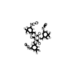 CC1C(Cn2c(=O)n(CC3(C)CC(N=C=O)CC(C)(C)C3)c(=O)n(CC3(C)CC(N=C=O)CC(C)(C)C3)c2=O)CC(N=C=O)CC1(C)C